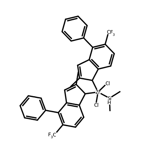 CC1=Cc2c(ccc(C(F)(F)F)c2-c2ccccc2)[CH]1[Zr]([Cl])([Cl])([CH]1C(C)=Cc2c1ccc(C(F)(F)F)c2-c1ccccc1)[SiH](C)C